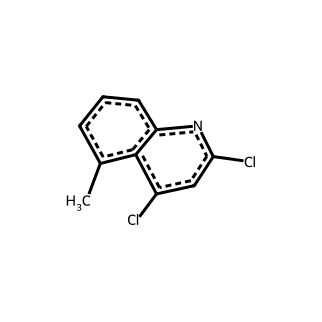 Cc1cccc2nc(Cl)cc(Cl)c12